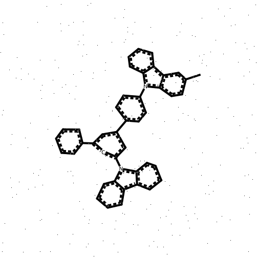 Cc1ccc2c(c1)c1ccccc1n2-c1ccc(-c2cc(-c3ccccc3)cc(-n3c4ccccc4c4ccccc43)c2)cc1